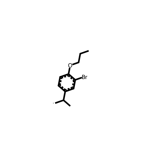 [CH2]C(C)c1ccc(OCCC)c(Br)c1